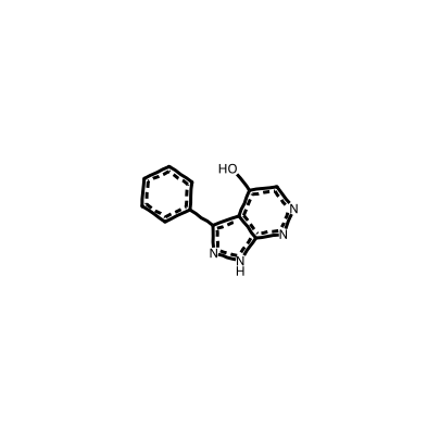 Oc1cnnc2[nH]nc(-c3ccccc3)c12